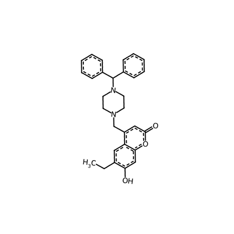 CCc1cc2c(CN3CCN(C(c4ccccc4)c4ccccc4)CC3)cc(=O)oc2cc1O